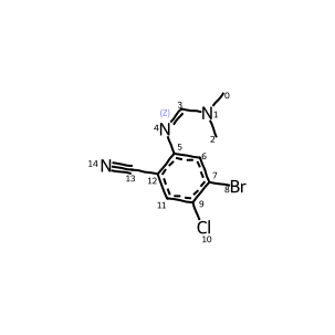 CN(C)/C=N\c1cc(Br)c(Cl)cc1C#N